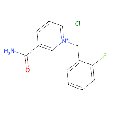 NC(=O)c1ccc[n+](Cc2ccccc2F)c1.[Cl-]